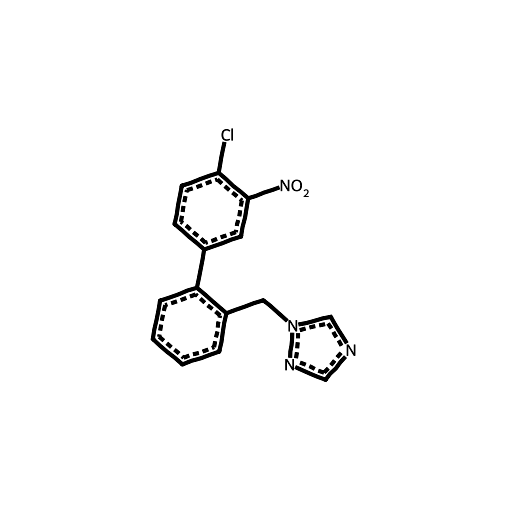 O=[N+]([O-])c1cc(-c2ccccc2Cn2cncn2)ccc1Cl